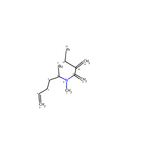 C=CCCC(C(C)CC)N(C)C(=C)C(=C)CC(C)C